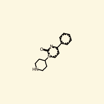 O=c1nc(-c2ccccc2)ccn1C1CCNCC1